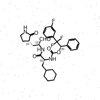 O=C[C@H](C[C@@H]1CCNC1=O)NC(=O)[C@H](CC1CCCCC1)NC(=O)O[C@H](c1ccccc1)C(F)(F)c1cccc(F)c1